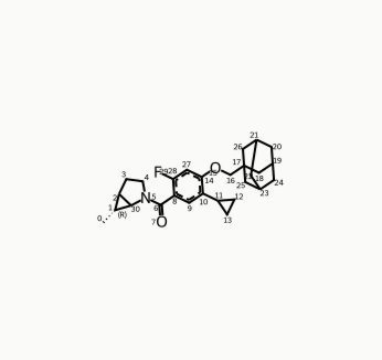 C[C@@H]1C2CCN(C(=O)c3cc(C4CC4)c(OCC45CC6CC(CC(C6)C4)C5)cc3F)C21